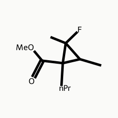 CCCC1(C(=O)OC)C(C)C1(C)F